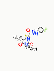 CCCCCn1c(=O)c(C)c2sc(C(=O)NCc3ccc(F)cc3)cn2c1=O